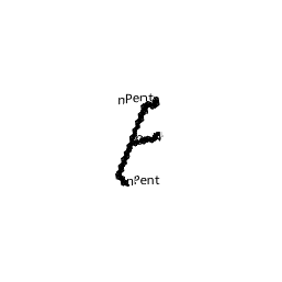 CCCCC/C=C\C/C=C\CCCCCCCCC(CCCCCCCC/C=C\C/C=C\CCCCC)CO/C=C/CN(C)C